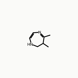 CC1=NC=CNCC1C